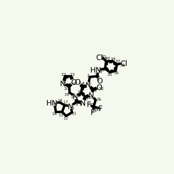 O=C(Cn1c(=O)c2c(nc(N3CCC4CNCC43)n2Cc2ncco2)n(CC(F)(F)F)c1=O)Nc1ccc(Cl)cc1Cl